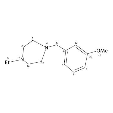 CCN1CCN(Cc2cccc(OC)c2)CC1